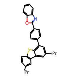 CC(C)c1ccc2sc3c(-c4ccc(-c5nc6ccccc6o5)cc4)cc(C(C)C)cc3c2c1